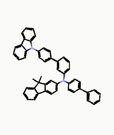 CC1(C)c2ccccc2-c2ccc(N(c3ccc(-c4ccccc4)cc3)c3cccc(-c4ccc(-n5c6ccccc6c6ccccc65)cc4)c3)cc21